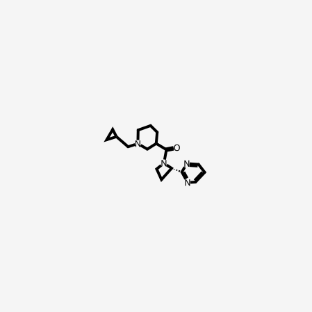 O=C(C1CCCN(CC2CC2)C1)N1CC[C@H]1c1ncccn1